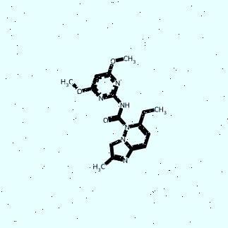 CCC1=CC=C2N=C(C)CN2N1C(=O)Nc1nc(OC)cc(OC)n1